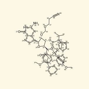 COc1ccc(C(OC(C(=O)COc2ccccc2)[C@H]2O[C@@H](n3cnc4c(=O)[nH]c(N)nc43)[C@H](OCOCCC#N)[C@@H]2OP(OCCC#N)N(C(C)C)C(C)C)(c2ccccc2)c2ccc(OC)cc2)cc1